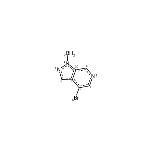 Bn1ncc2c(Br)cncc21